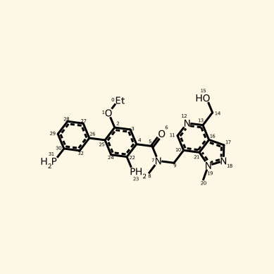 CCOc1cc(C(=O)N(C)Cc2cnc(CO)c3cnn(C)c23)c(P)cc1-c1cccc(P)c1